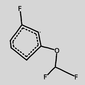 Fc1[c]c(OC(F)F)ccc1